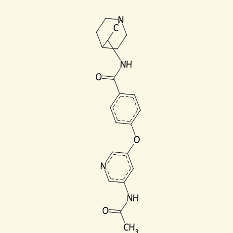 CC(=O)Nc1cncc(Oc2ccc(C(=O)NC3CN4CCC3CC4)cc2)c1